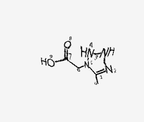 CC1=NNNN1CC(=O)O